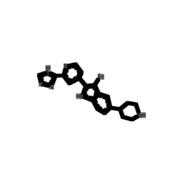 CCc1c(-c2ccnc(-c3nnc[nH]3)c2)[nH]c2ccc(C3CCNCC3)cc12